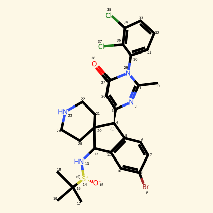 Cc1nc([C@H]2c3ccc(Br)cc3C(N[S@+]([O-])C(C)(C)C)C23CCNCC3)cc(=O)n1-c1cccc(Cl)c1Cl